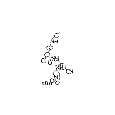 Cc1ccc([C@@H](C)NCc2ccc(-c3ccc(Cl)c(C(=O)N[C@@H](CN[C@@H]4CCN(C(=O)OC(C)(C)C)C(C)(C)C4)Cc4ccc(C#N)cc4)c3)o2)cc1